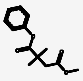 COC(=O)CC(C)(C)C(=O)Oc1ccccc1